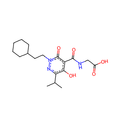 CC(C)c1nn(CCC2CCCCC2)c(=O)c(C(=O)NCC(=O)O)c1O